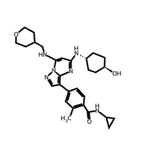 Cc1cc(-c2cnn3c(NCC4CCOCC4)cc(N[C@H]4CC[C@H](O)CC4)nc23)ccc1C(=O)NC1CC1